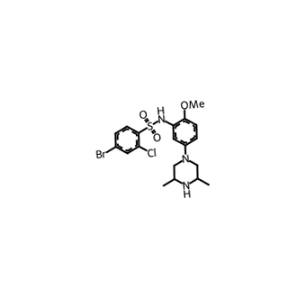 COc1ccc(N2CC(C)NC(C)C2)cc1NS(=O)(=O)c1ccc(Br)cc1Cl